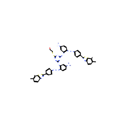 CCN(CC)c1ccc(/N=N/c2ccc(-c3nc4ccc(C)c(S(=O)(=O)O)c4s3)cc2)c(Nc2nc(Nc3cc(N(CC)CC)ccc3/N=N/c3ccc(-c4nc5ccc(C)c(S(=O)(=O)O)c5s4)cc3)nc(SCCO)n2)c1